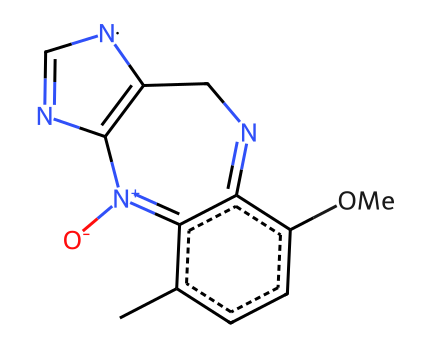 COc1ccc(C)c2c1=NCC1=C(N=C[N]1)[N+]=2[O-]